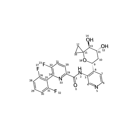 O=C(Nc1cnccc1[C@H]1C[C@@H](O)[C@H](O)C2(CC2)O1)c1ccc(F)c(-c2c(F)cccc2F)n1